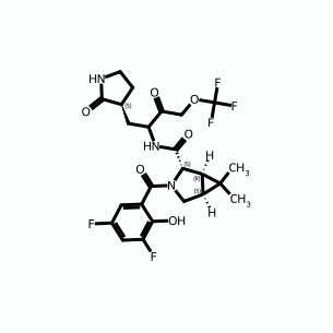 CC1(C)[C@@H]2[C@@H](C(=O)NC(C[C@@H]3CCNC3=O)C(=O)COC(F)(F)F)N(C(=O)c3cc(F)cc(F)c3O)C[C@@H]21